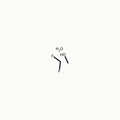 CO.FCF.O